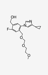 COCCOCOCc1cc(F)c(CO)cc1-n1cnc(C2CC2)c1